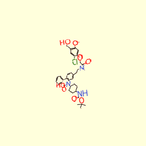 COc1cc(OCC(=O)N(C)CCc2ccc(-c3ccccc3)c(N(C(=O)O)C3CCC(NC(=O)OC(C)(C)C)CC3)c2)c(Cl)cc1CO